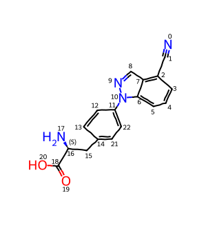 N#Cc1cccc2c1cnn2-c1ccc(C[C@H](N)C(=O)O)cc1